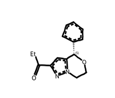 CCC(=O)c1cc2n(n1)CCO[C@H]2c1ccccc1